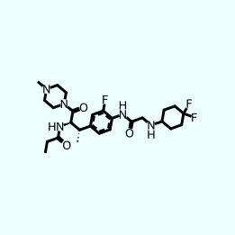 CCC(=O)N[C@@H](C(=O)N1CCN(C)CC1)[C@@H](C)c1ccc(NC(=O)CNC2CCC(F)(F)CC2)c(F)c1